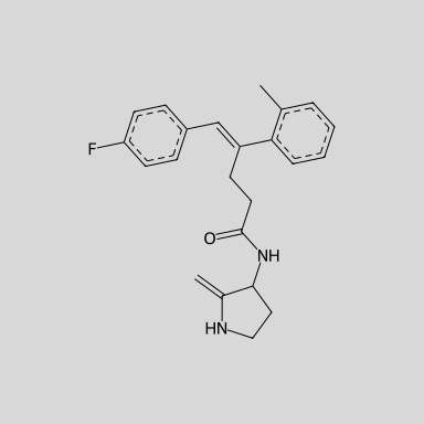 C=C1NCCC1NC(=O)CC/C(=C\c1ccc(F)cc1)c1ccccc1C